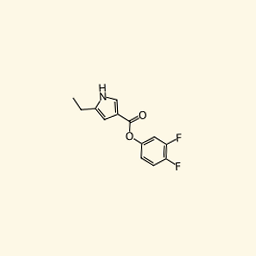 CCc1cc(C(=O)Oc2ccc(F)c(F)c2)c[nH]1